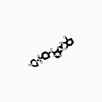 O=S(=O)(c1ccc(Nc2ncnc3sc(Nc4c(Cl)cccc4Cl)nc23)cc1)N1CCNCC1